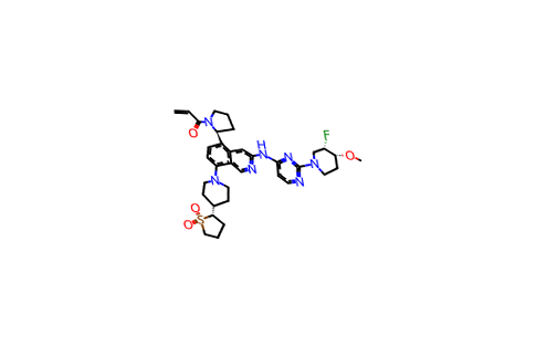 C=CC(=O)N1CCC[C@H]1c1ccc(N2CCC([C@@H]3CCCS3(=O)=O)CC2)c2cnc(Nc3ccnc(N4CC[C@@H](OC)[C@@H](F)C4)n3)cc12